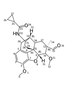 COc1ccc2c3c1O[C@H]1C(OC)[C@](C)(C=O)CC4[C@@H](C2)C(NC(=O)C2CC2)CC[C@@]341